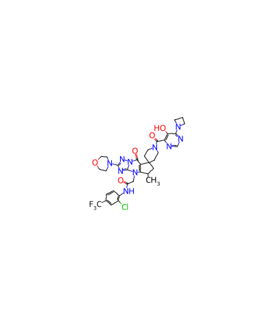 CC1CC2(CCN(C(=O)c3ncnc(N4CCC4)c3O)CC2)c2c1n(CC(=O)Nc1ccc(C(F)(F)F)cc1Cl)c1nc(N3CCOCC3)nn1c2=O